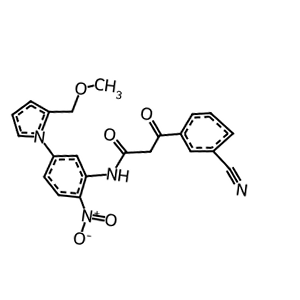 COCc1cccn1-c1ccc([N+](=O)[O-])c(NC(=O)CC(=O)c2cccc(C#N)c2)c1